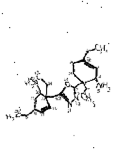 CCC1=CC(N)C(CC)(c2nnc(C3(CC)C=CC(CC)=CC3N)o2)C=C1